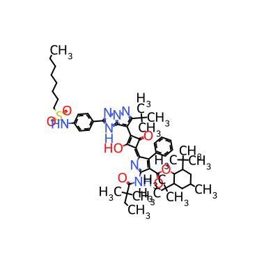 CCCCCCCCS(=O)(=O)Nc1ccc(-c2nn3nc(C(C)(C)C)c(C4=C(O)/C(=C5\N=C(NC(=O)C(C)(C)CC)C(C(=O)OC6C(C(C)(C)C)CC(C)CC6C(C)(C)C)=C5c5ccccc5)C4=O)c3[nH]2)cc1